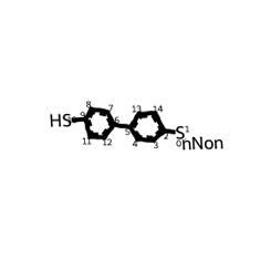 CCCCCCCCCSc1ccc(-c2ccc(S)cc2)cc1